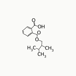 CC(C)C(C)COC(=O)c1ccccc1C(=O)O